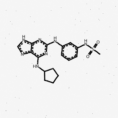 CS(=O)(=O)Nc1cccc(Nc2nc(NC3CCCC3)c3nc[nH]c3n2)c1